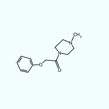 CN1CCN(C(=O)COc2cc[c]cc2)CC1